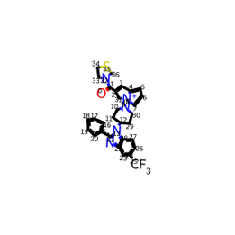 O=C(C1=CC2=CC=C[N@@+]2(N2CCC(n3c(-c4ccccc4)nc4cc(C(F)(F)F)ccc43)CC2)C1)N1CCSC1